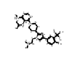 CNc1ncnc(N2CCC(c3nc(-c4ccc(F)c(C(F)(F)F)c4)cn3CCN(C)C)CC2)c1OC(C)C